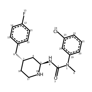 CN(C(=O)N[C@@H]1C[C@@H](Cc2ccc(F)cc2)CCN1)c1cccc(Cl)c1